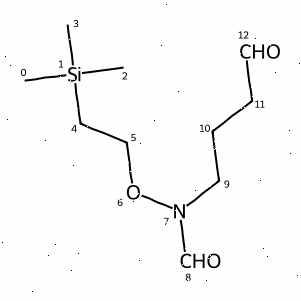 C[Si](C)(C)CCON(C=O)CCCC=O